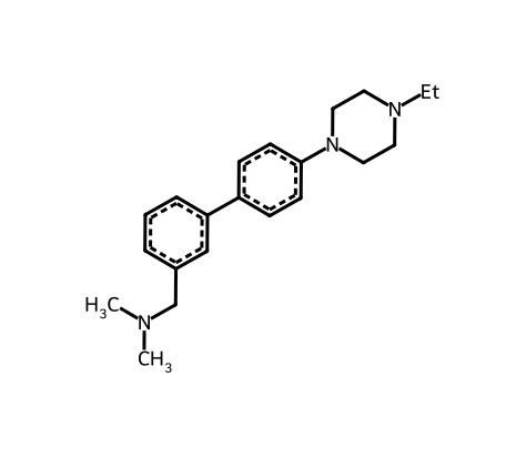 CCN1CCN(c2ccc(-c3cccc(CN(C)C)c3)cc2)CC1